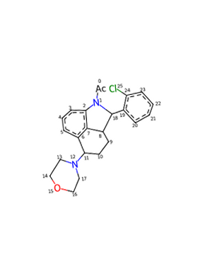 CC(=O)N1c2cccc3c2C(CCC3N2CCOCC2)C1c1ccccc1Cl